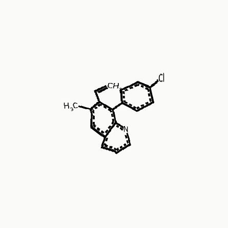 C=Cc1c(C)cc2cccnc2c1-c1ccc(Cl)cc1